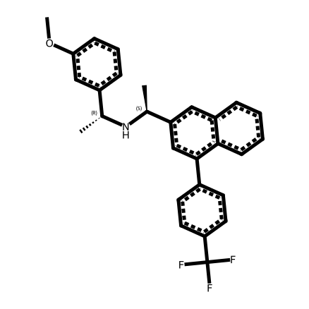 COc1cccc([C@@H](C)N[C@@H](C)c2cc(-c3ccc(C(F)(F)F)cc3)c3ccccc3c2)c1